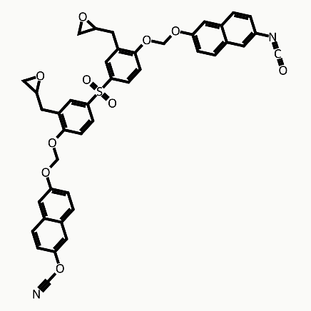 N#COc1ccc2cc(OCOc3ccc(S(=O)(=O)c4ccc(OCOc5ccc6cc(N=C=O)ccc6c5)c(CC5CO5)c4)cc3CC3CO3)ccc2c1